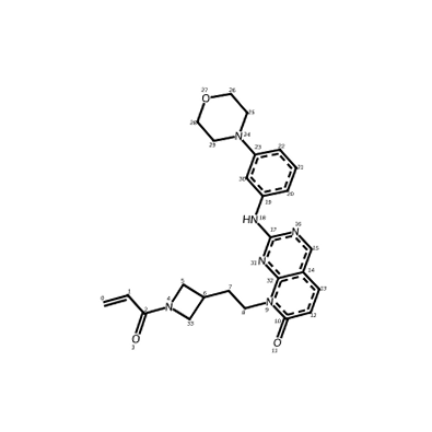 C=CC(=O)N1CC(CCn2c(=O)ccc3cnc(Nc4cccc(N5CCOCC5)c4)nc32)C1